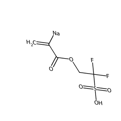 C=[C]([Na])C(=O)OCC(F)(F)S(=O)(=O)O